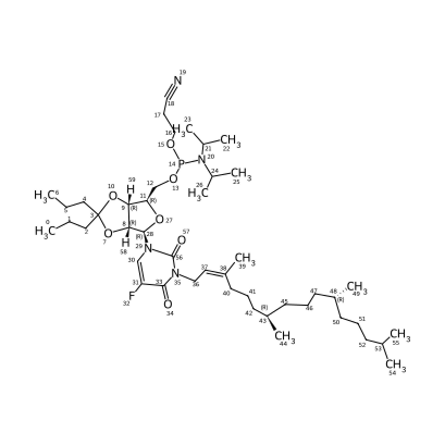 CCCC1(CCC)O[C@@H]2[C@H](O1)[C@@H](COP(OCCC#N)N(C(C)C)C(C)C)O[C@H]2n1cc(F)c(=O)n(CC=C(C)CCC[C@H](C)CCC[C@H](C)CCCC(C)C)c1=O